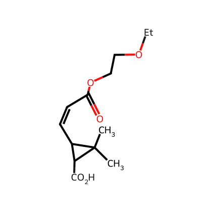 CCOCCOC(=O)/C=C\C1C(C(=O)O)C1(C)C